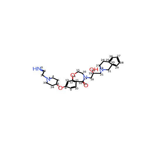 N=CCN1CCC(Oc2ccc3c(c2)OCCN(CC(O)CN2CCc4ccccc4C2)C3=O)CC1